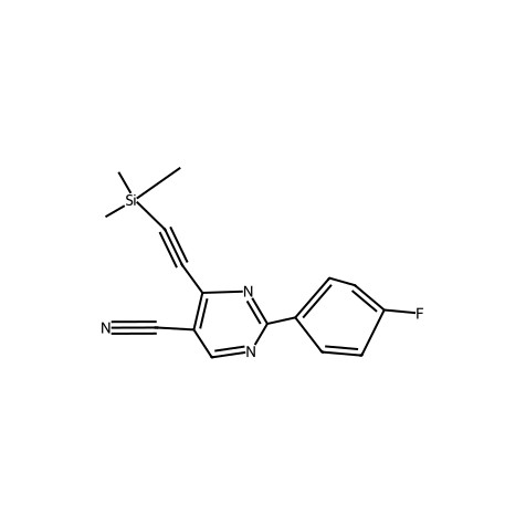 C[Si](C)(C)C#Cc1nc(-c2ccc(F)cc2)ncc1C#N